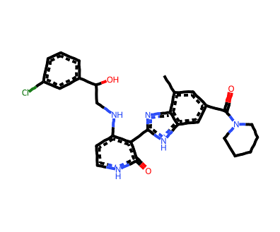 Cc1cc(C(=O)N2CCCCC2)cc2[nH]c(-c3c(NCC(O)c4cccc(Cl)c4)cc[nH]c3=O)nc12